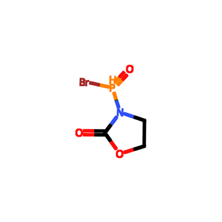 O=C1OCCN1[PH](=O)Br